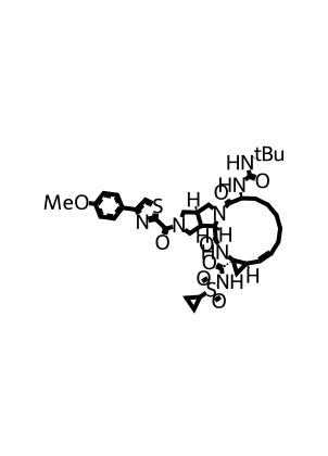 COc1ccc(-c2csc(C(=O)N3C[C@H]4CN5C(=O)[C@@H](NC(=O)NC(C)(C)C)CCCCC/C=C\[C@H]6C[C@@]6(C(=O)NS(=O)(=O)C6CC6)NC(=O)[C@@H]5[C@H]4C3)n2)cc1